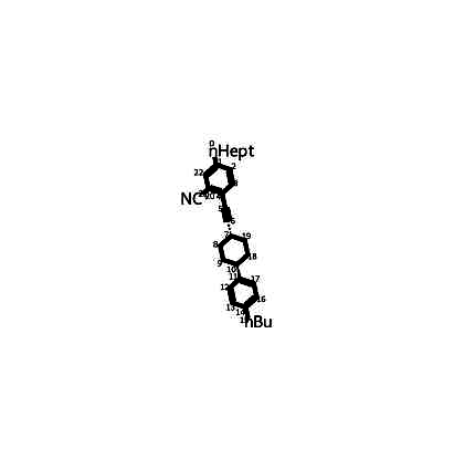 CCCCCCCc1ccc(C#C[C@H]2CC[C@H](c3ccc(CCCC)cc3)CC2)c(C#N)c1